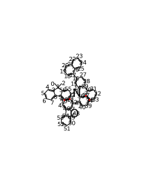 CC1(C)c2ccccc2-c2ccc(N(c3cc(-c4cccc5ccccc45)ccc3-c3ccccc3)c3ccccc3-c3cccc4c3oc3ccccc34)cc21